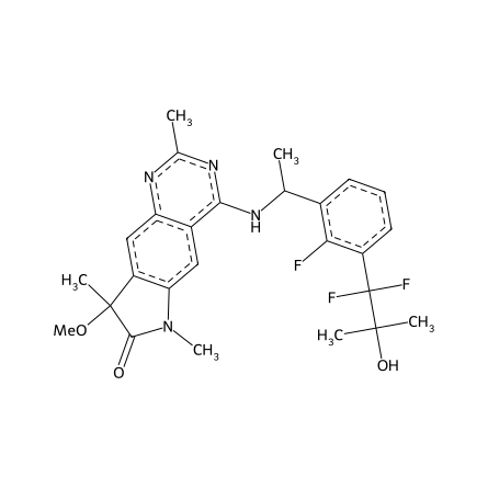 COC1(C)C(=O)N(C)c2cc3c(NC(C)c4cccc(C(F)(F)C(C)(C)O)c4F)nc(C)nc3cc21